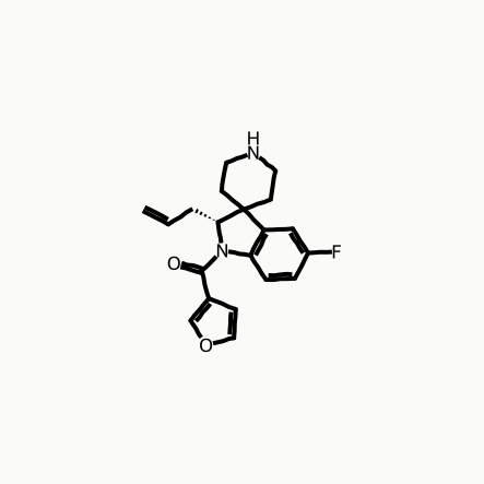 C=CC[C@H]1N(C(=O)c2ccoc2)c2ccc(F)cc2C12CCNCC2